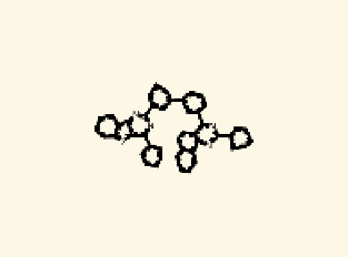 c1ccc(-c2nc(-c3cccc(-c4cccc(-c5nc(-c6ccccc6)c6sc7ccccc7c6n5)c4)c3)c3ccc4ccccc4c3n2)cc1